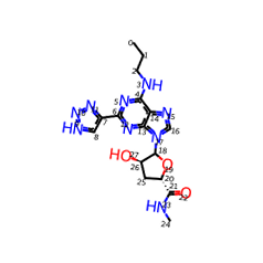 CCCNc1nc(-c2c[nH]nn2)nc2c1ncn2C1O[C@H](C(=O)NC)C[C@H]1O